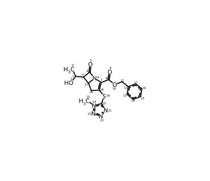 CC(O)C1C(=O)N2C(C(=O)OCc3ccccc3)=C(Sc3nnnn3C)CC12